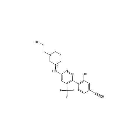 C#Cc1ccc(-c2nnc(N[C@@H]3CCCN(CCO)C3)cc2C(F)(F)F)c(O)c1